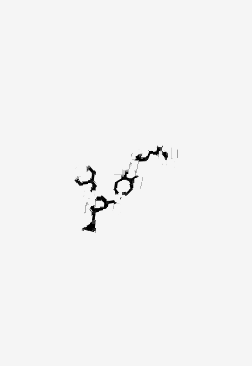 O=C(CCc1c[nH]c(=O)s1)N1C[C@H]2CCN(C(=O)c3cc(OCC4CCOCC4)nc(C4CC4)c3)CC[C@H]2C1